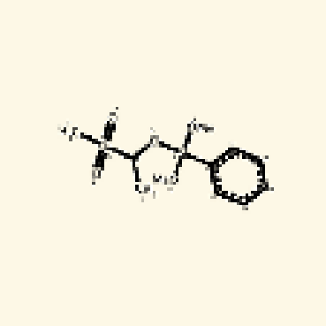 CO[Si](OC)(OC(C)S(C)(=O)=O)c1ccccc1